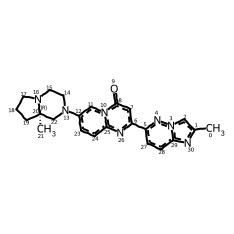 Cc1cn2nc(-c3cc(=O)n4cc(N5CCN6CCC[C@]6(C)C5)ccc4n3)ccc2n1